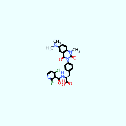 CN(C)c1ccc2c(c1)c(=O)n(-c1ccc(C[C@H](NC(=O)c3c(Cl)ccnc3Cl)C(=O)O)cc1)c(=O)n2C